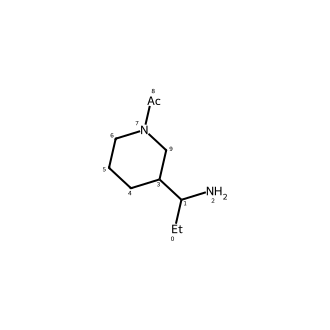 CCC(N)C1CCCN(C(C)=O)C1